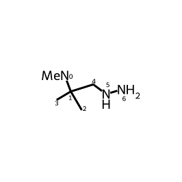 CNC(C)(C)CNN